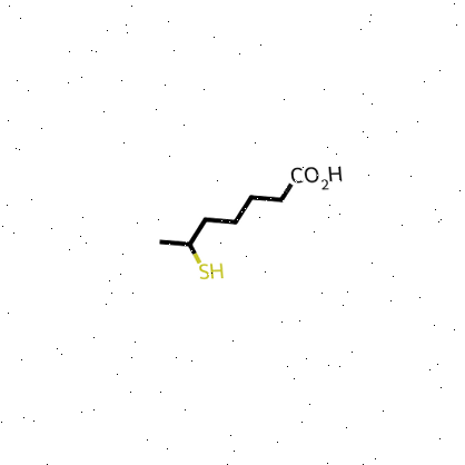 CC(S)CCCCC(=O)O